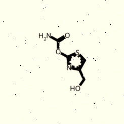 NC(=O)Oc1nc(CO)cs1